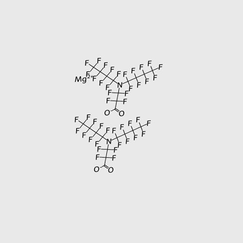 O=C([O-])C(F)(F)C(F)(F)N(C(F)(F)C(F)(F)C(F)(F)C(F)(F)F)C(F)(F)C(F)(F)C(F)(F)C(F)(F)F.O=C([O-])C(F)(F)C(F)(F)N(C(F)(F)C(F)(F)C(F)(F)C(F)(F)F)C(F)(F)C(F)(F)C(F)(F)C(F)(F)F.[Mg+2]